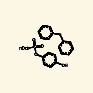 CCCCCCCCS(=O)(=O)Oc1ccc(O)cc1.c1ccc(Sc2ccccc2)cc1